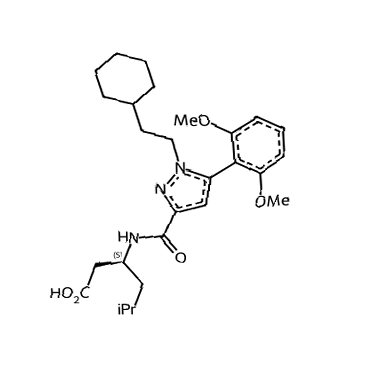 COc1cccc(OC)c1-c1cc(C(=O)N[C@H](CC(=O)O)CC(C)C)nn1CCC1CCCCC1